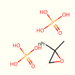 CCCC1(C)CO1.O=P(O)(O)O.O=P(O)(O)O